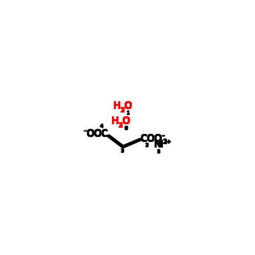 O.O.O=C([O-])CC(=O)[O-].[Ni+2]